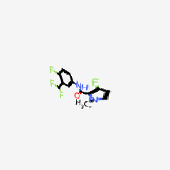 Cn1ccc(F)c1C(=O)Nc1ccc(F)c(C(F)F)c1